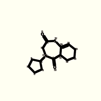 O=C1CN(C2CCCC2)C(=O)C2CCCC=C2S1